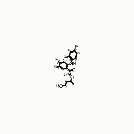 CC(CCO)ONC(=O)c1cc(F)c(F)cc1Nc1ccc(I)cc1F